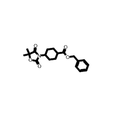 CC1(C)OC(=O)N(C2CCC(C(=O)OCc3ccccc3)CC2)C1=O